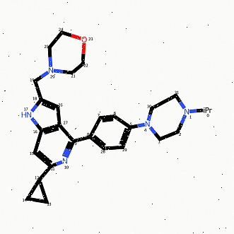 CC(C)N1CCN(c2ccc(-c3nc(C4CC4)cc4[nH]c(CN5CCOCC5)cc34)cc2)CC1